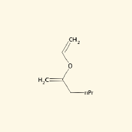 C=COC(=C)CCCC